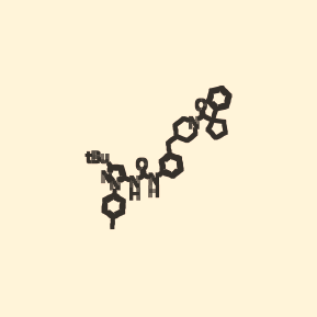 Cc1ccc(-n2nc(C(C)(C)C)cc2NC(=O)Nc2cccc(CC3CCN(C(=O)C4(c5ccccc5)CCCC4)CC3)c2)cc1